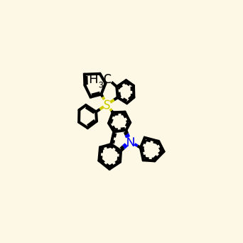 Cc1ccccc1S(C1=CCCC=C1)(C1=CC=CCC1)c1ccc2c(c1)c1ccccc1n2-c1ccccc1